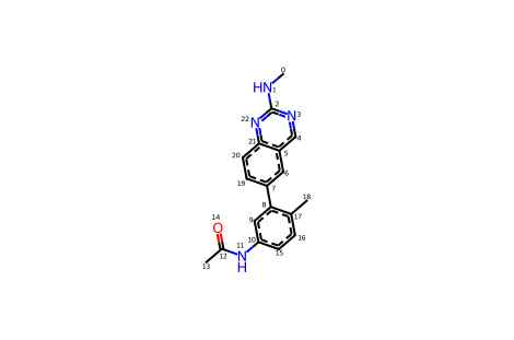 CNc1ncc2cc(-c3cc(NC(C)=O)ccc3C)ccc2n1